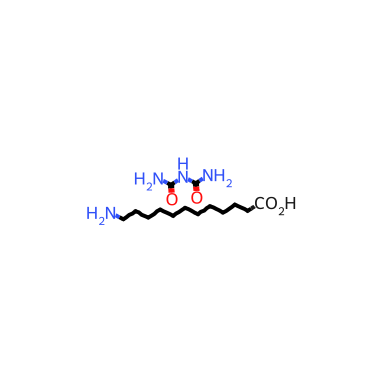 NC(=O)NC(N)=O.NCCCCCCCCCCCC(=O)O